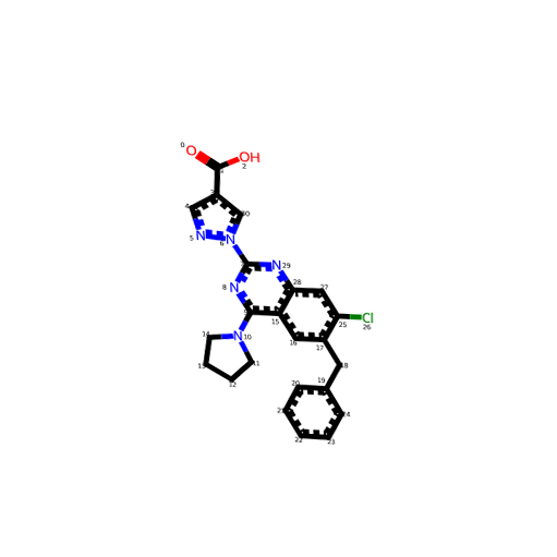 O=C(O)c1cnn(-c2nc(N3CCCC3)c3cc(Cc4ccccc4)c(Cl)cc3n2)c1